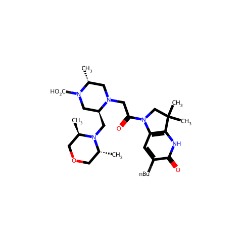 CCCCc1cc2c([nH]c1=O)C(C)(C)CN2C(=O)CN1C[C@@H](C)N(C(=O)O)C[C@@H]1CN1[C@H](C)COC[C@H]1C